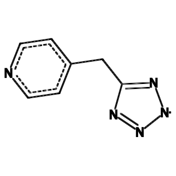 c1cc(CC2=N[N]N=N2)ccn1